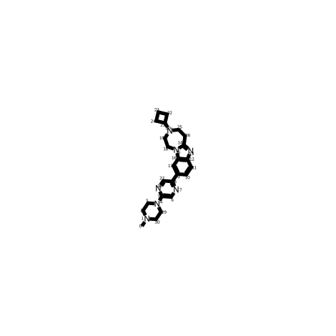 CN1CCN(c2cnc(-c3ccc4nc5n(c4c3)CCN(C3CCC3)CC5)cn2)CC1